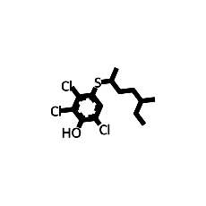 CCC(C)CCC(C)Sc1cc(Cl)c(O)c(Cl)c1Cl